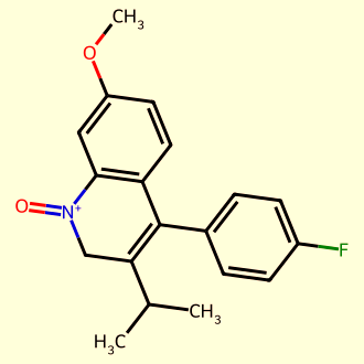 COc1ccc2c(c1)[N+](=O)CC(C(C)C)=C2c1ccc(F)cc1